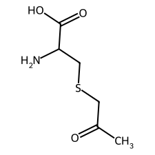 CC(=O)CSCC(N)C(=O)O